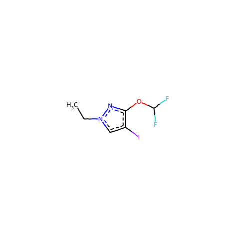 CCn1cc(I)c(OC(F)F)n1